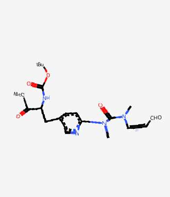 COC(=O)C(Cc1ccc(N(C)C(=O)N(C)/C=C\C=O)nc1)NC(=O)OC(C)(C)C